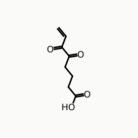 C=CC(=O)C(=O)CCCC(=O)O